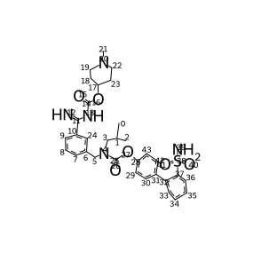 CC(C)CN(Cc1cccc(C(=N)NC(=O)OC2CCN(C)CC2)c1)C(=O)Oc1ccc(-c2ccccc2S(N)(=O)=O)cc1